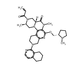 C=CC(=O)N1C[C@@H]2C(=O)N(C)c3c(OC[C@@H]4CCCN4C)nc4c(c3N2C[C@H]1C)CCN(c1nccc2c1CCCC2)C4